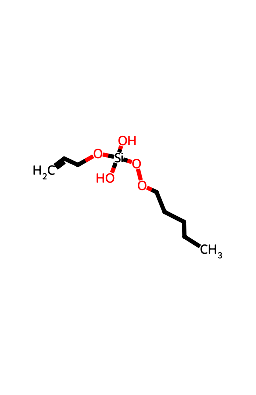 C=CCO[Si](O)(O)OOCCCCC